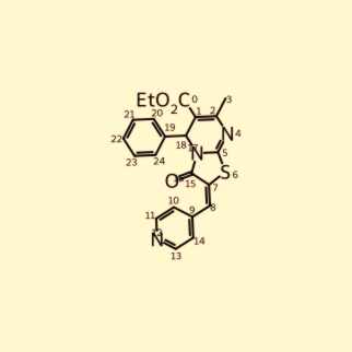 CCOC(=O)C1=C(C)N=c2sc(=Cc3ccncc3)c(=O)n2C1c1ccccc1